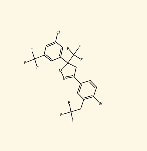 FC(F)(F)Cc1cc(C2=NOC(c3cc(Cl)cc(C(F)(F)F)c3)(C(F)(F)F)C2)ccc1Br